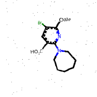 COc1nc(N2CCCCCC2)c(C(=O)O)cc1Br